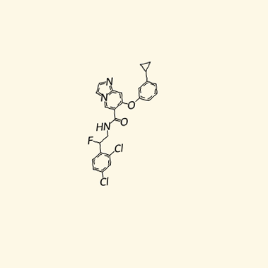 O=C(NCC(F)c1ccc(Cl)cc1Cl)c1cn2ccnc2cc1Oc1cccc(C2CC2)c1